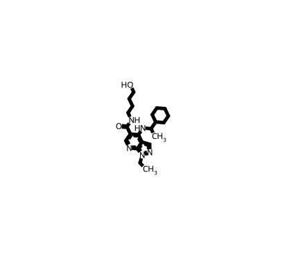 CCn1ncc2c(NC(C)C3CCCCC3)c(C(=O)NCCCCO)cnc21